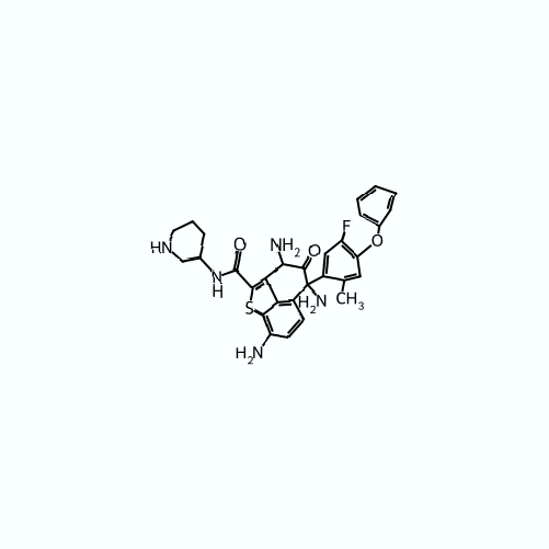 Cc1cc(Oc2ccccc2)c(F)cc1C1(N)C(=O)C(N)c2c(C(=O)NC3CCCNC3)sc3c(N)ccc1c23